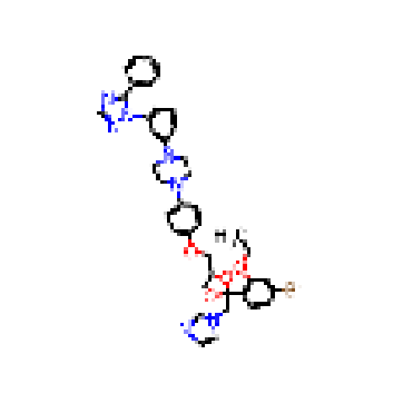 CCOc1cc(Br)ccc1C1(Cn2ccnc2)OCC(COc2ccc(N3CCN(c4cccc(-n5ncnc5-c5ccccc5)c4)CC3)cc2)O1